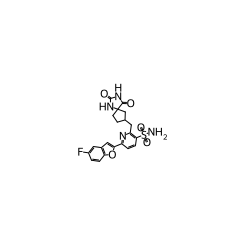 NS(=O)(=O)c1ccc(-c2cc3cc(F)ccc3o2)nc1CC1CCC2(C1)NC(=O)NC2=O